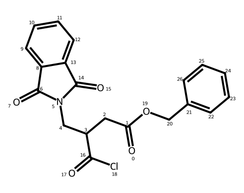 O=C(CC(CN1C(=O)c2ccccc2C1=O)C(=O)Cl)OCc1ccccc1